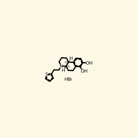 Br.Oc1ccc2c(c1O)CC[C@H]1[C@H]2CCCN1CCc1cccs1